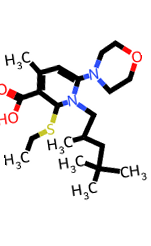 CCSC1C(C(=O)O)=C(C)C=C(N2CCOCC2)N1CC(C)CC(C)(C)C